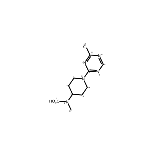 CN(C(=O)O)C1CCN(c2ncnc(Cl)n2)CC1